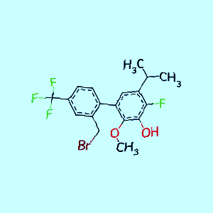 COc1c(-c2ccc(C(F)(F)F)cc2CBr)cc(C(C)C)c(F)c1O